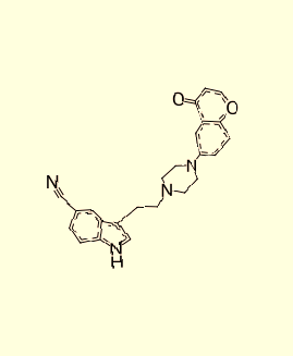 N#Cc1ccc2[nH]cc(CCN3CCN(c4ccc5occc(=O)c5c4)CC3)c2c1